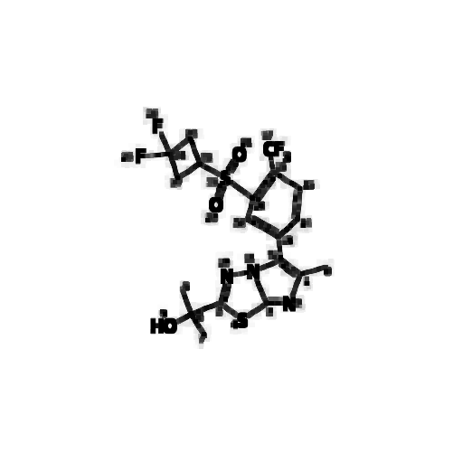 Cc1nc2sc(C(C)(C)O)nn2c1-c1ccc(C(F)(F)F)c(S(=O)(=O)C2CC(F)(F)C2)c1